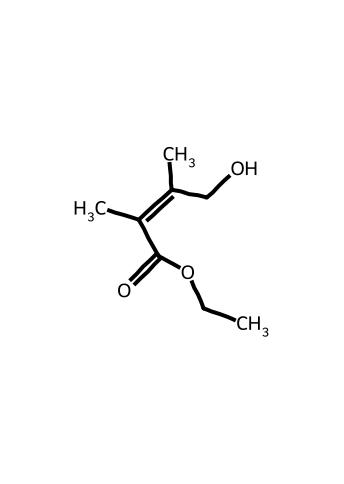 CCOC(=O)C(C)=C(C)CO